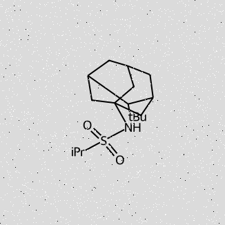 CC(C)S(=O)(=O)NC12CC3CC(C1)C(C(C)(C)C)C(C3)C2